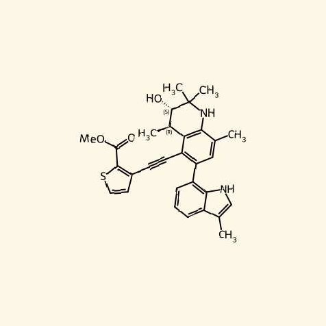 COC(=O)c1sccc1C#Cc1c(-c2cccc3c(C)c[nH]c23)cc(C)c2c1[C@@H](C)[C@H](O)C(C)(C)N2